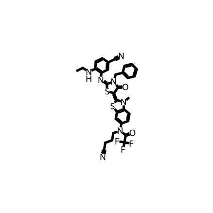 CCNc1ccc(C#N)cc1/N=C1/S/C(=C2\Sc3cc(N(CCCC#N)C(=O)C(F)(F)F)ccc3N2C)C(=O)N1Cc1ccccc1